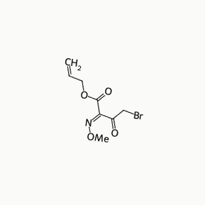 C=CCOC(=O)C(=NOC)C(=O)CBr